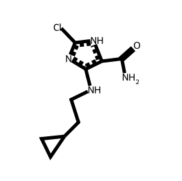 NC(=O)c1[nH]c(Cl)nc1NCCC1CC1